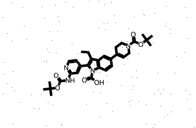 CCc1c(-c2ccnc(NC(=O)OC(C)(C)C)c2)n(C(=O)O)c2ccc(C3=CCN(C(=O)OC(C)(C)C)CC3)cc12